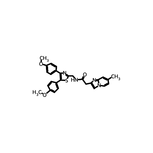 COc1ccc(-c2nc(CNC(=O)Cc3cn4ccc(C)cc4n3)sc2-c2ccc(OC)cc2)cc1